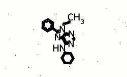 CCCn1c(-c2ccccc2)nc2c(NC3CCCCC3)ncnc21